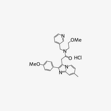 COCCN(Cc1cccnc1)C(=O)Cc1c(-c2ccc(OC)cc2)nc2cc(C)ccn12.Cl